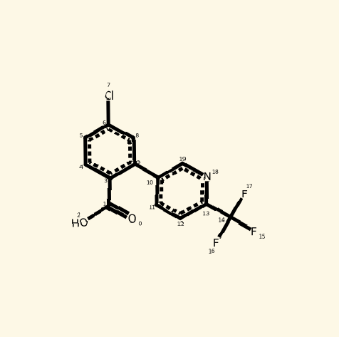 O=C(O)c1ccc(Cl)cc1-c1ccc(C(F)(F)F)nc1